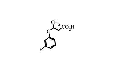 CC(CC(=O)O)Oc1cccc(F)c1